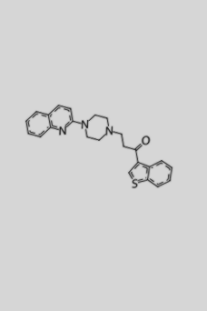 O=C(CCN1CCN(c2ccc3ccccc3n2)CC1)c1csc2ccccc12